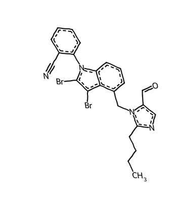 CCCCc1ncc(C=O)n1Cc1cccc2c1c(Br)c(Br)n2-c1ccccc1C#N